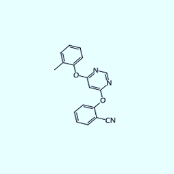 Cc1ccccc1Oc1cc(Oc2ccccc2C#N)ncn1